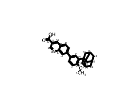 COc1ccc(-c2ccc3cc(C(=O)O)cnc3c2)cc1C12CC3CC(CC(C3)C1)C2